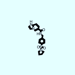 O=C(NCc1ccc(S(=O)(=O)N2CCCC2)cc1)C1=CN2C=CNC2C=C1